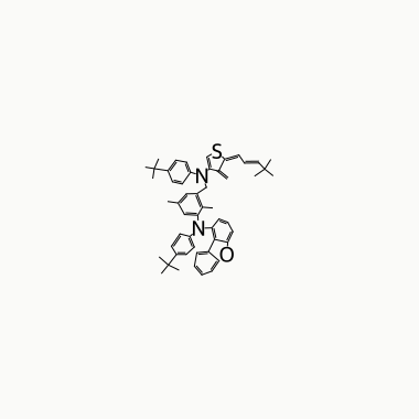 C=c1c(N(Cc2cc(C)cc(N(c3ccc(C(C)(C)C)cc3)c3cccc4oc5ccccc5c34)c2C)c2ccc(C(C)(C)C)cc2)cs/c1=C/C=C/C(C)(C)C